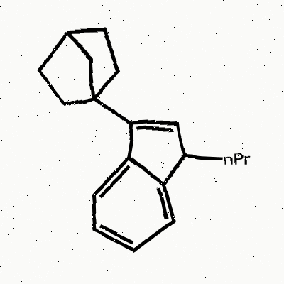 CCCC1C=C(C23CCC(CC2)C3)c2ccccc21